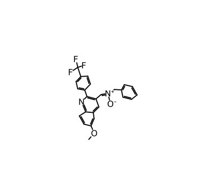 COc1ccc2nc(-c3ccc(C(F)(F)F)cc3)c(/C=[N+](\[O-])Cc3ccccc3)cc2c1